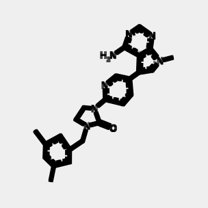 Cc1cc(C)cc(CN2CCN(c3ccc(-c4cn(C)c5ncnc(N)c45)cn3)C2=O)c1